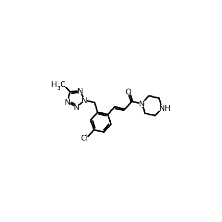 Cc1nnn(Cc2cc(Cl)ccc2C=CC(=O)N2CCNCC2)n1